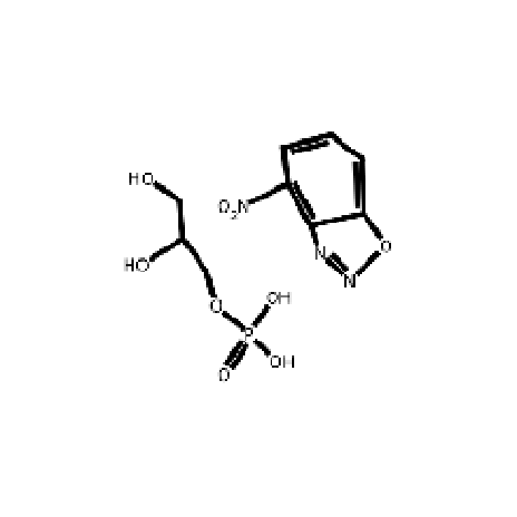 O=P(O)(O)OCC(O)CO.O=[N+]([O-])c1cccc2onnc12